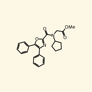 COC(=O)CN(C(=O)c1nc(-c2ccccc2)c(-c2ccccc2)o1)C1CCCC1